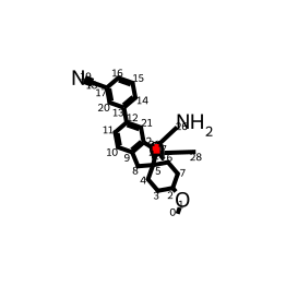 COC1CCC2(CC1)Cc1ccc(-c3cccc(C#N)c3)cc1C21N=C(N)N(C)O1